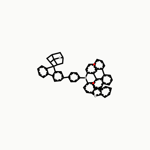 c1ccc(-c2cccc3cccc(-c4ccccc4N(c4ccc(-c5ccc6c(c5)C5(c7ccccc7-6)C6CC7CC8CC5C86C7)cc4)c4ccc5oc6ccccc6c5c4)c23)cc1